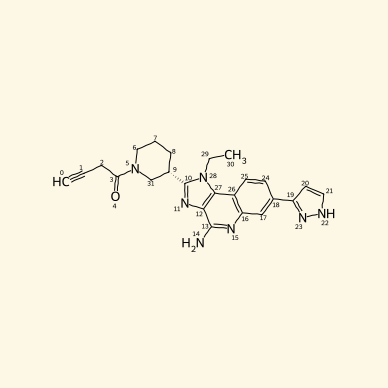 C#CCC(=O)N1CCC[C@H](c2nc3c(N)nc4cc(-c5cc[nH]n5)ccc4c3n2CC)C1